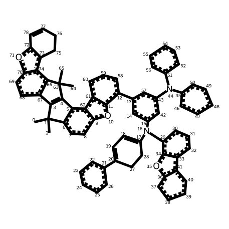 CC1(C)C2=C(c3c1ccc1oc4c(-c5cc(N(C6=CC=C(c7ccccc7)CC6)c6cccc7c6oc6ccccc67)cc(N(c6ccccc6)c6ccccc6)c5)cccc4c31)C(C)(C)c1c2ccc2oc3c(c12)CCC=C3